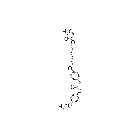 C=CC(=O)OCCCCCCOc1ccc(CC(=O)Oc2ccc(OC)cc2)cc1